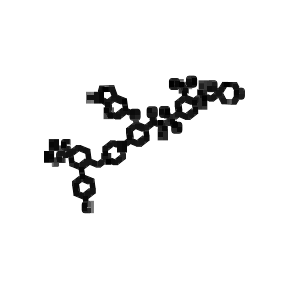 CC1(C)CCC(CN2CCN(c3ccc(C(=O)NS(=O)(=O)c4ccc(NCC5(O)CCOCC5)c([N+](=O)[O-])c4)c(Oc4cnc5[nH]ccc5c4)c3)CC2)=C(c2ccc(Cl)cc2)C1